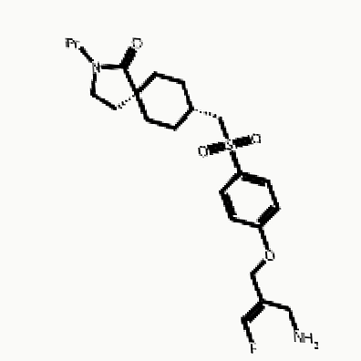 CC(C)N1CC[C@]2(CC[C@@H](CS(=O)(=O)c3ccc(OC/C(=C/F)CN)cc3)CC2)C1=O